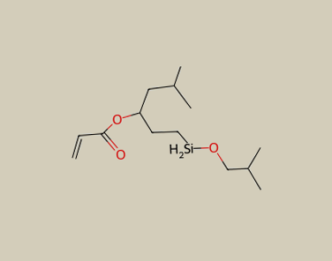 C=CC(=O)OC(CC[SiH2]OCC(C)C)CC(C)C